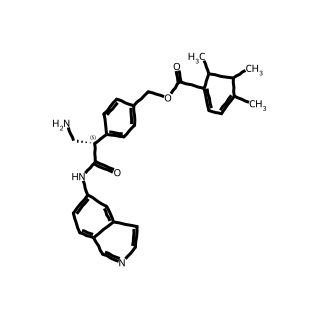 CC1=CC=C(C(=O)OCc2ccc([C@@H](CN)C(=O)Nc3ccc4cnccc4c3)cc2)C(C)C1C